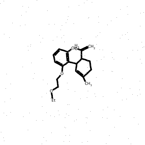 C=C(C)C1CCC(C)=CC1c1c(O)cccc1OCCOCC